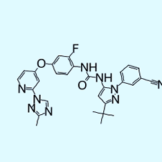 Cc1ncn(-c2cc(Oc3ccc(NC(=O)Nc4cc(C(C)(C)C)nn4-c4cccc(C#N)c4)c(F)c3)ccn2)n1